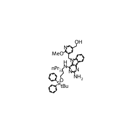 CCC[C@@H](CCO[Si](c1ccccc1)(c1ccccc1)C(C)(C)C)Nc1nc(N)nc2c3ccccc3n(Cc3cc(CO)cnc3OC)c12